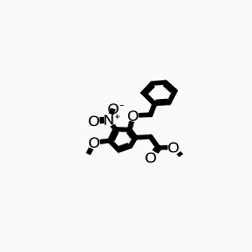 COC(=O)Cc1ccc(OC)c([N+](=O)[O-])c1OCc1ccccc1